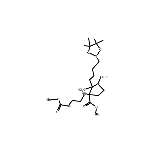 CC(C)(C)OC(=O)NCCNC1(C(=O)OC(C)(C)C)CCN(C(=O)O)C1(CCCCB1OC(C)(C)C(C)(C)O1)C(=O)O